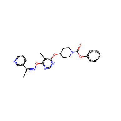 C/C(=N/Oc1ncnc(OC2CCN(C(=O)Oc3ccccc3)CC2)c1C)c1cccnc1